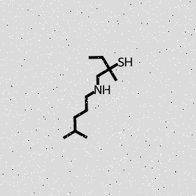 CCC(C)(S)CNCCCC(C)C